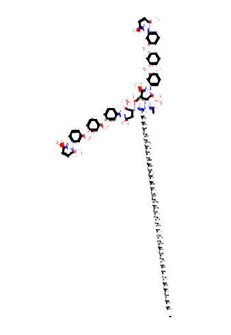 C=C=C=C=C=C=C=C=C=C=C=C=C=C=C=C=C=C=C=C=C=C=C=C=C=C=C=C=C=C=C=C=C=C=C=C(N(C(C)=O)C1CC(=O)N(c2cccc(Oc3cccc(Oc4cccc(N5C(=O)C=CC5=O)c4)c3)c2)C1=O)N(C(C)=O)C1CC(=O)N(c2cccc(Oc3cccc(Oc4cccc(N5C(=O)C=CC5=O)c4)c3)c2)C1=O